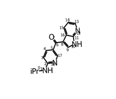 CC(C)Nc1ccc(C(=O)c2c[nH]c3ncccc23)cn1